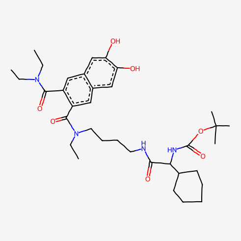 CCN(CC)C(=O)c1cc2cc(O)c(O)cc2cc1C(=O)N(CC)CCCCNC(=O)C(NC(=O)OC(C)(C)C)C1CCCCC1